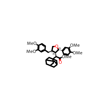 COC(=O)C([C@H]1[C@@H](Cc2ccc(OC)c(OC)c2)CO[C@@H]1c1ccc(OC)c(OC)c1)C12CC3CC(CC(C3)C1)C2